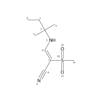 CCC(C)(C)NC=C(C#N)S(C)(=O)=O